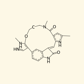 CN/C1=C(\C=N)c2ccc3c(c2)/C(=C/c2[nH]c(C)cc2C(=O)N(C)CCCO1)C(=O)N3